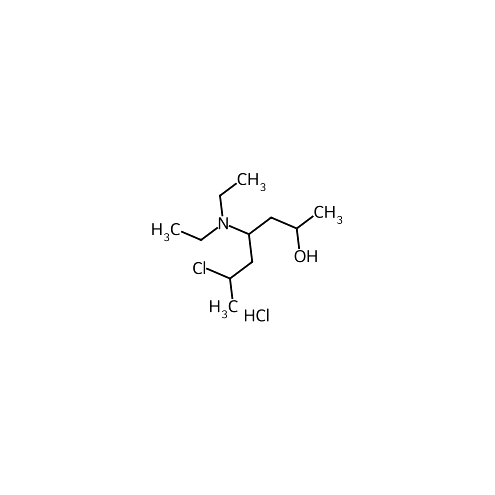 CCN(CC)C(CC(C)O)CC(C)Cl.Cl